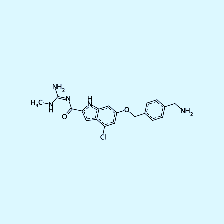 CNC(N)=NC(=O)c1cc2c(Cl)cc(OCc3ccc(CN)cc3)cc2[nH]1